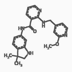 COc1cc(CNc2ncccc2C(=O)Nc2ccc3c(c2)NCC3(C)C)ccn1